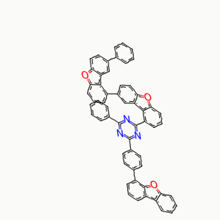 c1ccc(-c2ccc3oc4cccc(-c5ccc6oc7cccc(-c8nc(-c9ccccc9)nc(-c9ccc(-c%10cccc%11c%10oc%10ccccc%10%11)cc9)n8)c7c6c5)c4c3c2)cc1